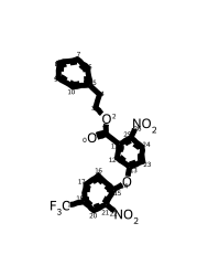 O=C(OCCc1ccccc1)c1cc(Oc2ccc(C(F)(F)F)cc2[N+](=O)[O-])ccc1[N+](=O)[O-]